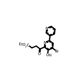 CCOC(=O)CCC(=O)c1nc(-c2cccnc2)cc(Br)c1O